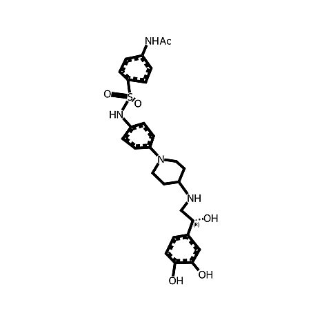 CC(=O)Nc1ccc(S(=O)(=O)Nc2ccc(N3CCC(NC[C@H](O)c4ccc(O)c(O)c4)CC3)cc2)cc1